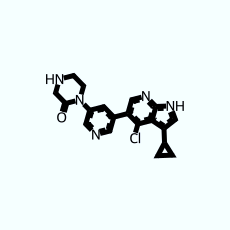 O=C1CNCCN1c1cncc(-c2cnc3[nH]cc(C4CC4)c3c2Cl)c1